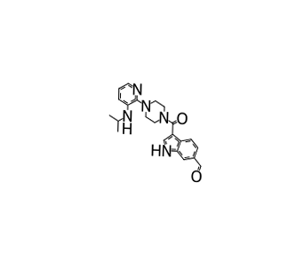 CC(C)Nc1cccnc1N1CCN(C(=O)c2c[nH]c3cc(C=O)ccc23)CC1